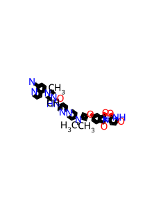 CC(C)N(C1CCN(c2ccc(NC(=O)N3C[C@H](C)N(c4ccc(C#N)c5ncccc45)C[C@H]3C)cn2)CC1)C1CC(Oc2ccc3c(c2)C(=O)N(C2CCC(=O)NC2=O)C3=O)C1